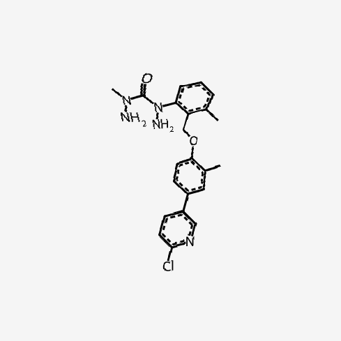 Cc1cc(-c2ccc(Cl)nc2)ccc1OCc1c(C)cccc1N(N)C(=O)N(C)N